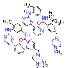 CS(=O)(=O)O.CS(=O)(=O)O.Cc1ccc(NC(=O)c2ccc(CN3CCN(C)CC3)cc2)cc1Nc1nccc(-c2cccnc2)n1.Cc1ccc(NC(=O)c2ccc(CN3CCN(C)CC3)cc2)cc1Nc1nccc(-c2cccnc2)n1